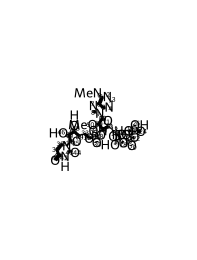 CNc1ncnc2c1ncn2[C@@H]1O[C@H](COP(=O)(O)OP(=O)(O)OP(=O)(O)O)[C@@H](OP(=O)(O)OC[C@H]2O[C@@H](n3ccc(=O)[nH]c3=O)[C@H](O)[C@@H]2O)[C@H]1OC